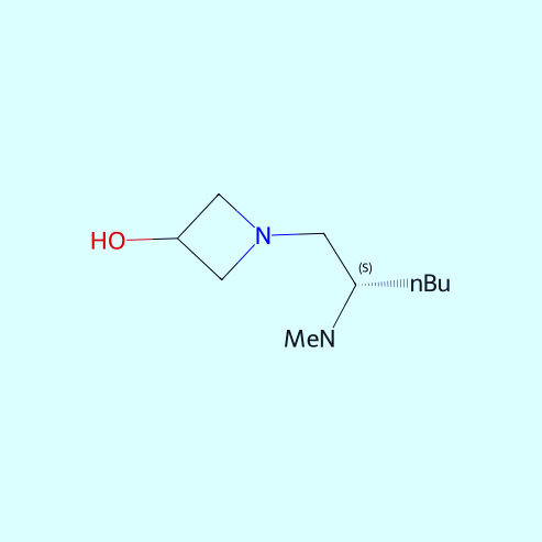 CCCC[C@@H](CN1CC(O)C1)NC